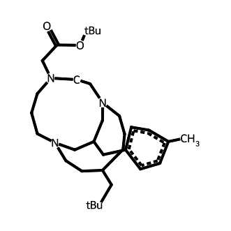 Cc1ccc(CC2CN3CCCN(CC(=O)OC(C)(C)C)CCN(CCCC(CC(C)(C)C)CC3)C2)cc1